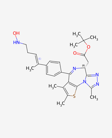 C/C(=C\CCNO)c1ccc(C2=N[C@H](CC(=O)OC(C)(C)C)c3nnc(C)n3-c3sc(C)c(C)c32)cc1